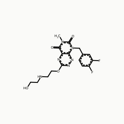 Cn1c(=O)c2nc(OCCNCCO)nnc2n(Cc2ccc(F)c(F)c2)c1=O